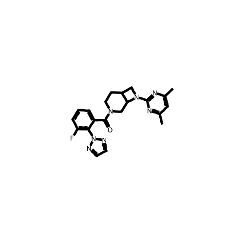 Cc1cc(C)nc(N2CC3CCN(C(=O)c4cccc(F)c4-n4nccn4)CC32)n1